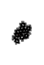 CC1(C)c2ccccc2-c2c(-c3ccccc3N(c3ccc4c(c3)C(C)(c3ccccc3)c3ccccc3-4)c3ccccc3-c3ccc4ccccc4c3)cccc21